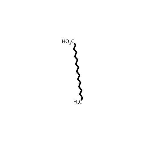 C=CCCCCCCCCCCCCCCC(=O)O